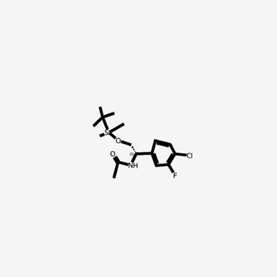 CC(=O)N[C@H](CO[Si](C)(C)C(C)(C)C)c1ccc(Cl)c(F)c1